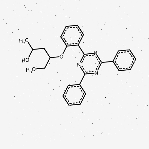 CCC(CC(C)O)Oc1ccccc1-c1nc(-c2ccccc2)nc(-c2ccccc2)n1